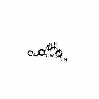 COc1cc(CN2CCCC2)ccc1-n1cnc(Nc2cnc(C#N)cn2)c1